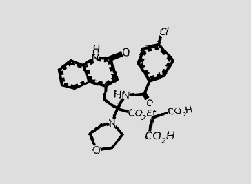 CCOC(=O)C(Cc1cc(=O)[nH]c2ccccc12)(NC(=O)c1ccc(Cl)cc1)N1CCOCC1.O=C(O)CC(=O)O